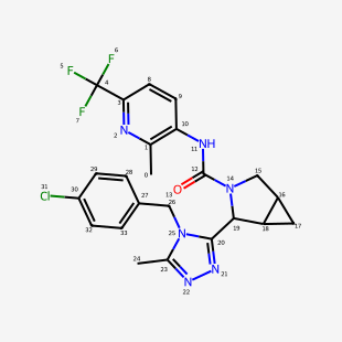 Cc1nc(C(F)(F)F)ccc1NC(=O)N1CC2CC2C1c1nnc(C)n1Cc1ccc(Cl)cc1